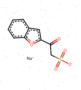 O=C(CS(=O)(=O)[O-])c1cc2ccccc2o1.[Na+]